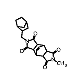 CN1C(=O)C2C3C=CC(C2C1=O)C1C(=O)N(CC2CC4CCC2C4)C(=O)C31